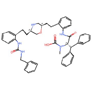 CN(C(=O)O)[C@H](C(=O)Nc1ccccc1CC[C@@H]1CN[C@H](CCc2ccccc2NC(=O)NCc2ccccc2)CO1)C(c1ccccc1)c1ccccc1